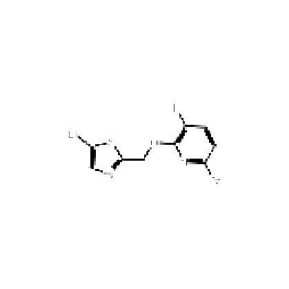 Fc1ccc(Br)nc1OCc1ncc(Cl)s1